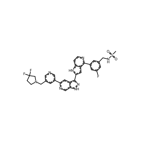 CS(=O)(=O)NCc1cc(F)cc(-c2nccc3[nH]c(-c4n[nH]c5cnc(-c6cncc(CN7CCC(F)(F)C7)c6)cc45)cc23)c1